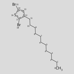 CCCCCCCCCCCCc1cc(Br)sc1Br